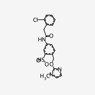 Cn1ccnc1OCc1ccc(NC(=O)Cc2ccccc2Cl)cc1[SH](=O)=O